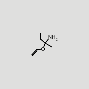 C=COC(C)(N)CC